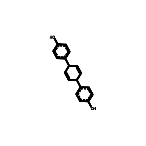 Oc1ccc(C2C=CC(c3ccc(O)cc3)C=C2)cc1